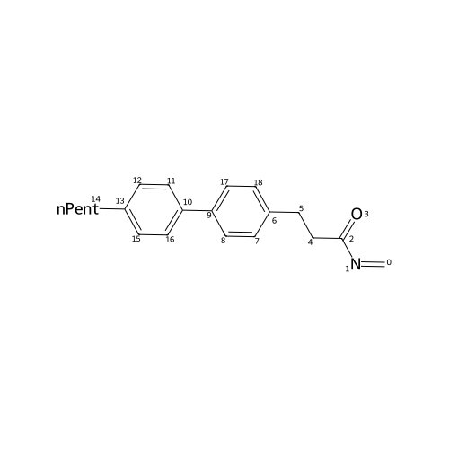 C=NC(=O)CCc1ccc(-c2ccc(CCCCC)cc2)cc1